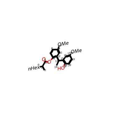 CCCCCCC(C)C(=O)Oc1ccc(OC)cc1C(C)c1cc(OC)ccc1O